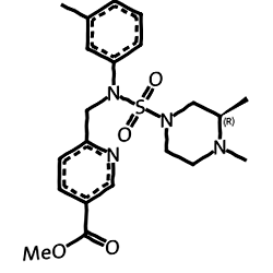 COC(=O)c1ccc(CN(c2cccc(C)c2)S(=O)(=O)N2CCN(C)[C@H](C)C2)nc1